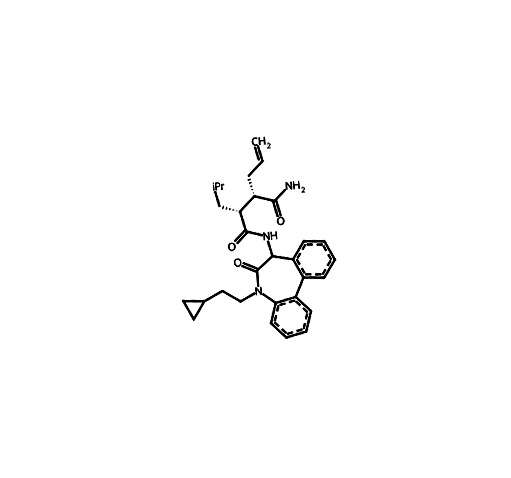 C=CC[C@H](C(N)=O)[C@@H](CC(C)C)C(=O)NC1C(=O)N(CCC2CC2)c2ccccc2-c2ccccc21